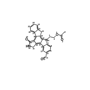 CC(=O)OCCn1c2ccc(C=O)cc2c2c3c(c4c(c21)Cc1ccccc1-4)C(=O)NC3